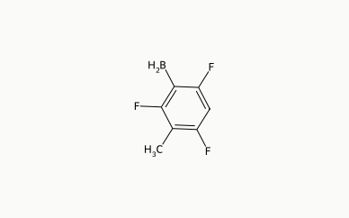 Bc1c(F)cc(F)c(C)c1F